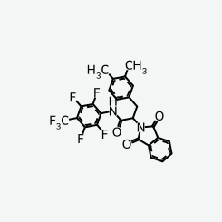 Cc1ccc(CC(C(=O)Nc2c(F)c(F)c(C(F)(F)F)c(F)c2F)N2C(=O)c3ccccc3C2=O)cc1C